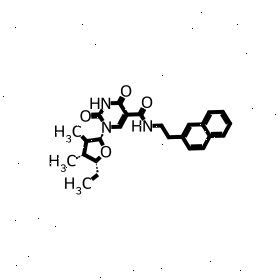 CC[C@H]1O[C@@H](n2cc(C(=O)NCCc3ccc4ccccc4c3)c(=O)[nH]c2=O)C(C)[C@H]1C